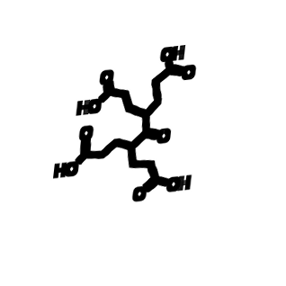 O=C(O)CCC(CCC(=O)O)C(=O)C(CCC(=O)O)CCC(=O)O